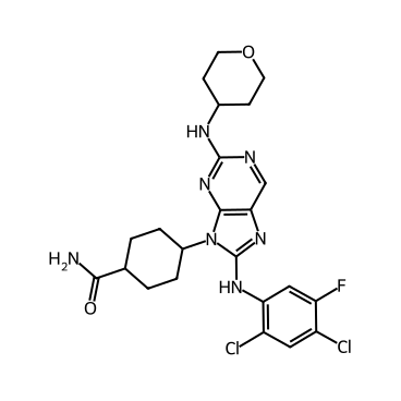 NC(=O)C1CCC(n2c(Nc3cc(F)c(Cl)cc3Cl)nc3cnc(NC4CCOCC4)nc32)CC1